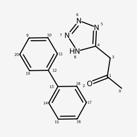 CC(=O)Cc1nnn[nH]1.c1ccc(-c2ccccc2)cc1